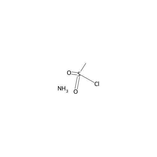 CS(=O)(=O)Cl.N